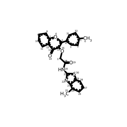 Cc1ccc(-c2oc3ccccc3c(=O)c2OCC(=O)Nc2nc3c(C)cccc3s2)cc1